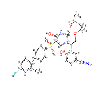 COC[C@@H](c1cccc(C#N)c1)n1c(COC(C)C)nc(=O)c(S(=O)(=O)c2ccc(-c3ccc(F)nc3C)cc2)c1O